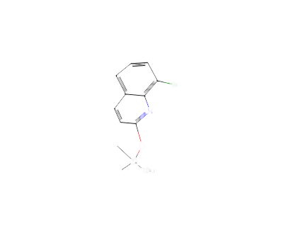 CC(C)(C)[Si](C)(C)Oc1ccc2cccc(Br)c2n1